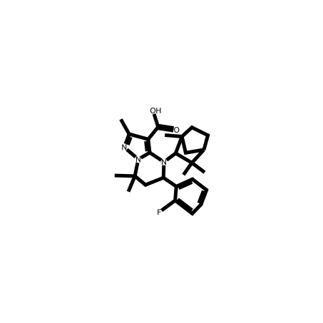 Cc1nn2c(c1C(=O)O)N(C1C3(C)CCC(C3)C1(C)C)C(c1ccccc1F)CC2(C)C